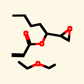 C=CC(=O)OC(CCCC)C1CO1.CCOCC